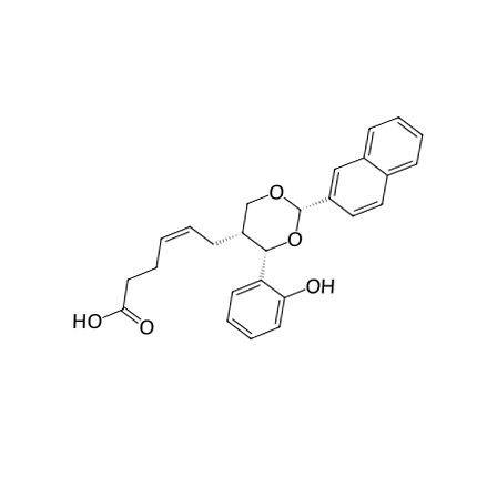 O=C(O)CC/C=C\C[C@@H]1CO[C@H](c2ccc3ccccc3c2)O[C@@H]1c1ccccc1O